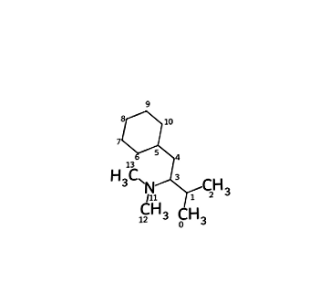 CC(C)C(CC1CCCCC1)N(C)C